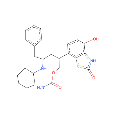 NC(=O)OCC(CC(Cc1ccccc1)NC1CCCCC1)c1ccc(O)c2[nH]c(=O)sc12